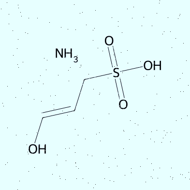 N.O=S(=O)(O)CC=CO